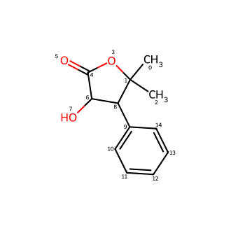 CC1(C)OC(=O)C(O)C1c1ccccc1